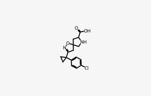 O=C(O)C1CC2(CN1)CC(C1(c3ccc(Cl)cc3)CC1)=NO2